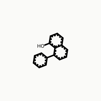 Oc1cccc2cccc(-c3ccccc3)c12